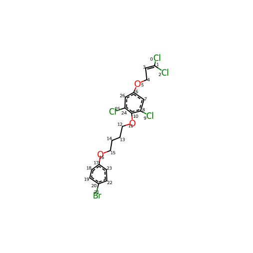 ClC(Cl)=CCOc1cc(Cl)c(OCCCCOc2ccc(Br)cc2)c(Cl)c1